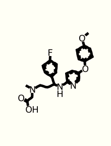 COc1ccc(Oc2ccc(NC(CCN(C)CC(=O)O)c3ccc(F)cc3)nc2)cc1